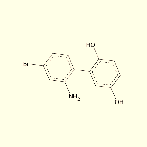 Nc1cc(Br)ccc1-c1cc(O)ccc1O